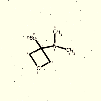 CCCCC1(N(C)C)COC1